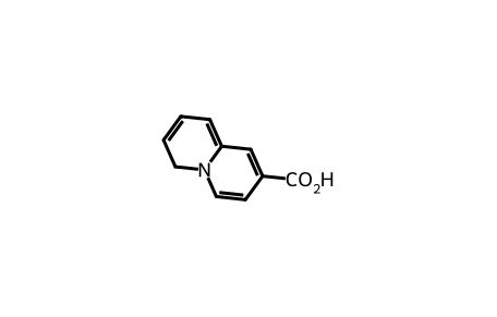 O=C(O)C1=CC2=CC=CCN2C=C1